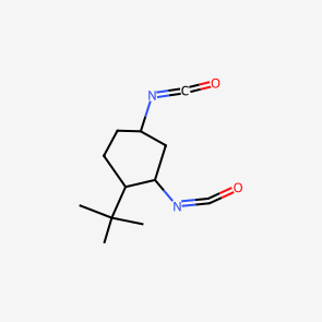 CC(C)(C)C1CCC(N=C=O)CC1N=C=O